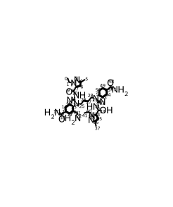 CCn1nc(C)cc1C(=O)Nc1nc2cc(C(N)=O)cc(CN)c2n1C/C=C/Cn1c(NC(O)c2cc(C)nn2CC)nc2cc(C(N)=O)ccc21